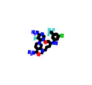 CN(CCCC(C=O)Nc1cc(Cl)cc(C(F)(F)F)c1)C1CN(c2ncnc(N)c2F)CC[C@@H]1C(N)=O